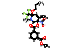 CCCOC1(C(F)(F)F)C=C(C)C(OC(=O)c2cccc(C(=O)OC)c2)([N+](=O)[O-])CN1C